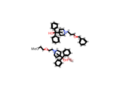 COCCOCC[N+]12CCC(C(O)(c3ccccc3)c3ccccc3)(CC1)CC2.OC(c1ccccc1)(c1ccccc1)C12CC[N+](CCCOCc3ccccc3)(CC1)CC2.[Br-].[Br-]